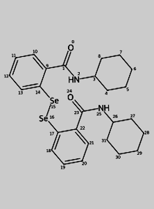 O=C(NC1CCCCC1)c1ccccc1[Se][Se]c1ccccc1C(=O)NC1CCCCC1